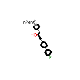 CCCCC[Si@H]1CC[C@H](CC(O)C#C[C@H]2CC[C@H](c3ccc(F)cc3)CC2)CC1